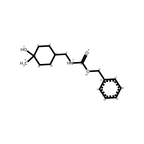 CC1(O)CCC(CNC(=O)OCc2ccccc2)CC1